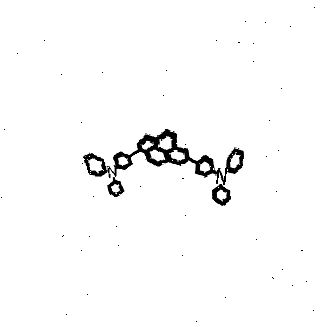 c1ccc(N(c2ccccc2)c2ccc(-c3cc4ccc5ccc(-c6ccc(N(c7ccccc7)c7ccccc7)cc6)c6ccc(c3)c4c56)cc2)cc1